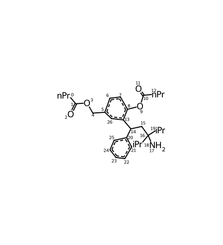 CCCC(=O)OCc1ccc(OC(=O)CCC)c(C(CC(N)(C(C)C)C(C)C)c2ccccc2)c1